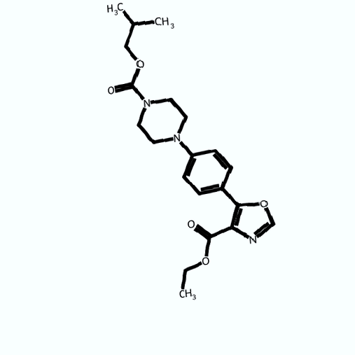 CCOC(=O)c1ncoc1-c1ccc(N2CCN(C(=O)OCC(C)C)CC2)cc1